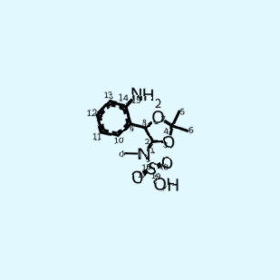 CN(C1OC(C)(C)OC1c1ccccc1N)S(=O)(=O)O